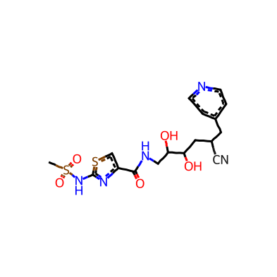 CS(=O)(=O)Nc1nc(C(=O)NCC(O)C(O)CC(C#N)Cc2ccncc2)cs1